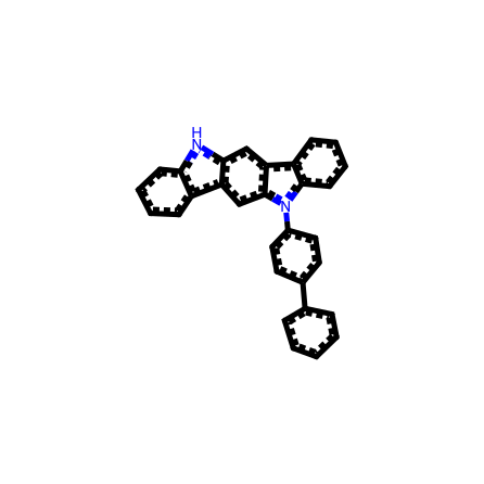 c1ccc(-c2ccc(-n3c4ccccc4c4cc5[nH]c6ccccc6c5cc43)cc2)cc1